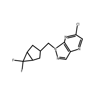 FC1(F)C2CC(Cn3ncc4ncc(Cl)nc43)CC21